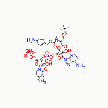 CN(C(=O)OCc1ccc(N)cc1)[C@H](CSSC(C)(C)C)C(=O)O[C@H]1[C@@H](O)[C@H](n2cnc3c(N)ncnc32)O[C@@H]1COP(=O)(O)O[C@H]1[C@@H](O)[C@H](n2ccc(N)nc2=O)O[C@@H]1COP(=O)(O)O